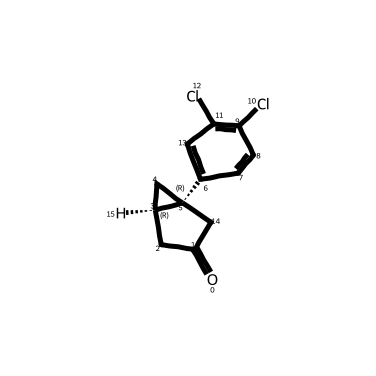 O=C1C[C@H]2C[C@@]2(c2ccc(Cl)c(Cl)c2)C1